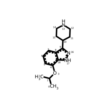 CC(C)Oc1cccc2c(C3CCNCC3)n[nH]c12